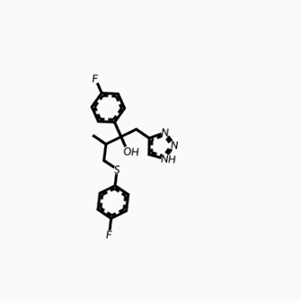 CC(CSc1ccc(F)cc1)C(O)(Cc1c[nH]nn1)c1ccc(F)cc1